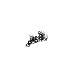 CCOc1ccc(NS(=O)(=O)c2cccc(Nc3ncc(Br)c(N[C@H](C)CO)n3)c2)cc1